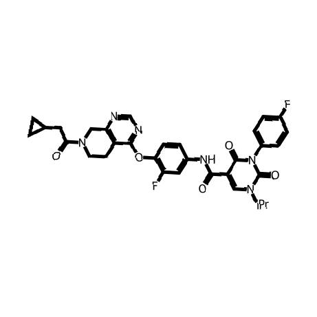 CC(C)n1cc(C(=O)Nc2ccc(Oc3ncnc4c3CCN(C(=O)CC3CC3)C4)c(F)c2)c(=O)n(-c2ccc(F)cc2)c1=O